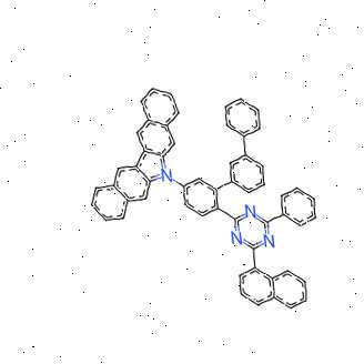 c1ccc(-c2cccc(-c3cc(-n4c5cc6ccccc6cc5c5cc6ccccc6cc54)ccc3-c3nc(-c4ccccc4)nc(-c4cccc5ccccc45)n3)c2)cc1